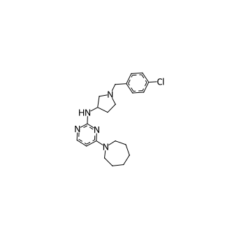 Clc1ccc(CN2CCC(Nc3nccc(N4CCCCCC4)n3)C2)cc1